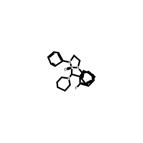 O=P1(C(c2ccccc2F)N2CCCCC2)N(c2ccccc2)CCN1c1ccccc1